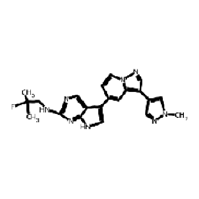 Cn1cc(-c2cnn3ccc(-c4c[nH]c5nc(NCC(C)(C)F)ncc45)cc23)cn1